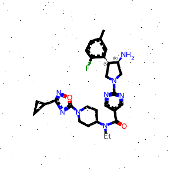 CCN(C(=O)c1cnc(N2C[C@H](c3cc(C)ccc3F)[C@@H](N)C2)nc1)C1CCN(c2nc(C3CC3)no2)CC1